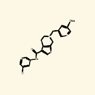 COc1cncc(CN2CCc3c(C(=O)Nc4cncc(C(F)(F)F)c4)csc3C2)c1